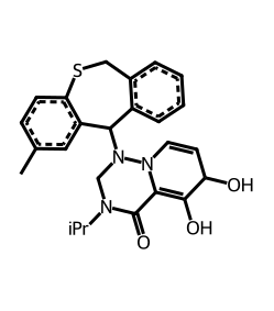 Cc1ccc2c(c1)C(N1CN(C(C)C)C(=O)C3=C(O)C(O)C=CN31)c1ccccc1CS2